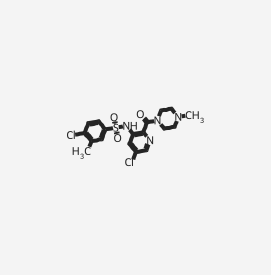 Cc1cc(S(=O)(=O)Nc2cc(Cl)cnc2C(=O)N2CCN(C)CC2)ccc1Cl